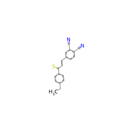 CCc1ccc(C(=S)C=Cc2ccc(C#N)c(C#N)c2)cc1